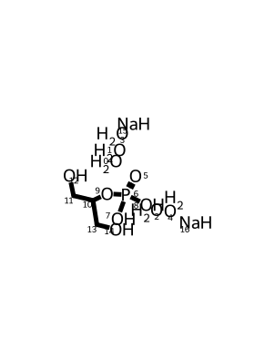 O.O.O.O.O.O=P(O)(O)OC(CO)CO.[NaH].[NaH]